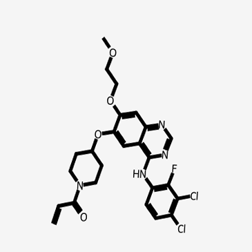 C=CC(=O)N1CCC(Oc2cc3c(Nc4ccc(Cl)c(Cl)c4F)ncnc3cc2OCCOC)CC1